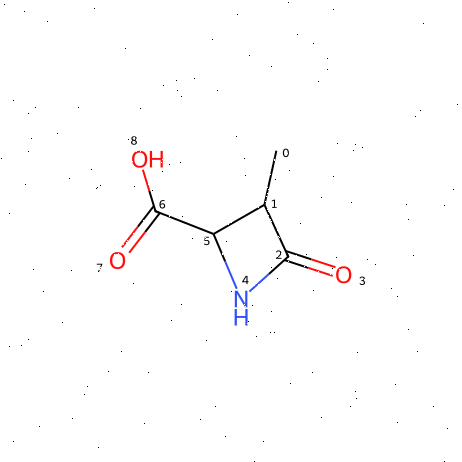 CC1C(=O)NC1C(=O)O